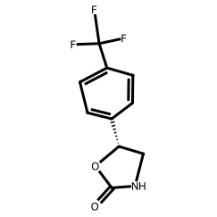 O=C1NC[C@@H](c2ccc(C(F)(F)F)cc2)O1